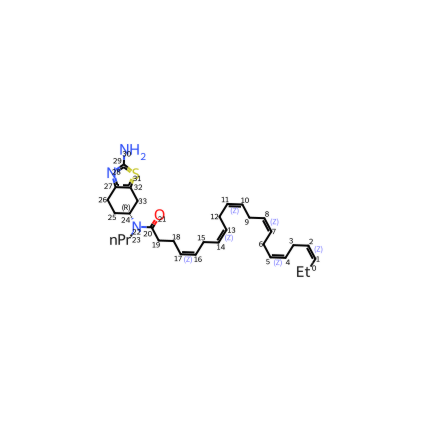 CC/C=C\C/C=C\C/C=C\C/C=C\C/C=C\C/C=C\CCC(=O)N(CCC)[C@@H]1CCc2nc(N)sc2C1